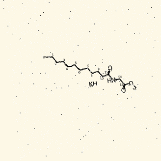 CCCCCCCCCCCC(=O)NCC(=O)OC.[KH]